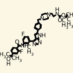 Cc1c(NC(=O)c2ccc(C(C)(C)O)cc2F)cc(F)cc1-c1ncnc2[nH]c(-c3ccc(CN4CCN(CCNC(=O)OC(C)(C)C)CC4)cc3)cc12